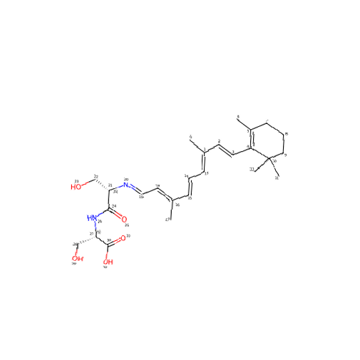 CC(C=CC1=C(C)CCCC1(C)C)=CC=CC(C)=CC=N[C@@H](CO)C(=O)N[C@@H](CO)C(=O)O